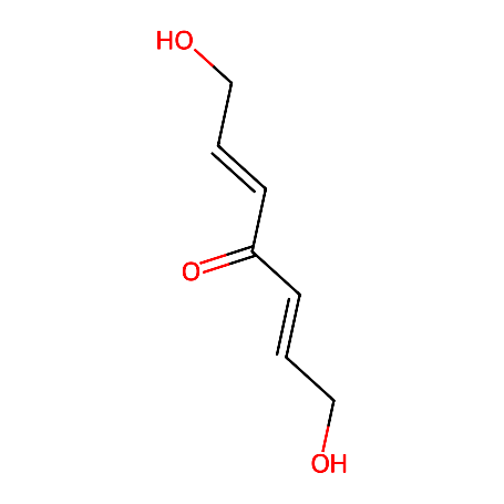 O=C(C=CCO)C=CCO